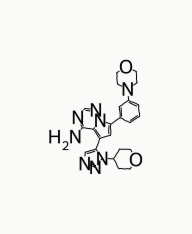 Nc1ncnn2c(-c3cccc(N4CCOCC4)c3)cc(-c3cnnn3C3CCOCC3)c12